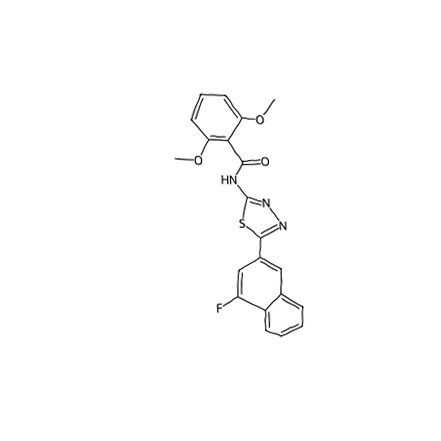 COc1cccc(OC)c1C(=O)Nc1nnc(-c2cc(F)c3ccccc3c2)s1